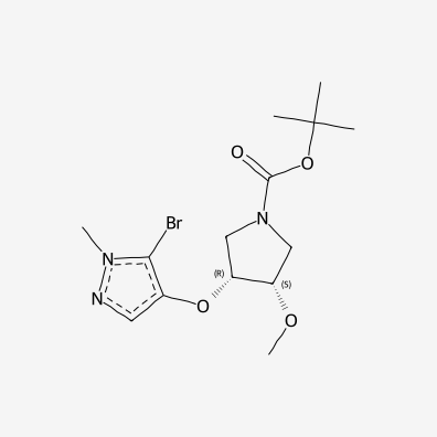 CO[C@H]1CN(C(=O)OC(C)(C)C)C[C@H]1Oc1cnn(C)c1Br